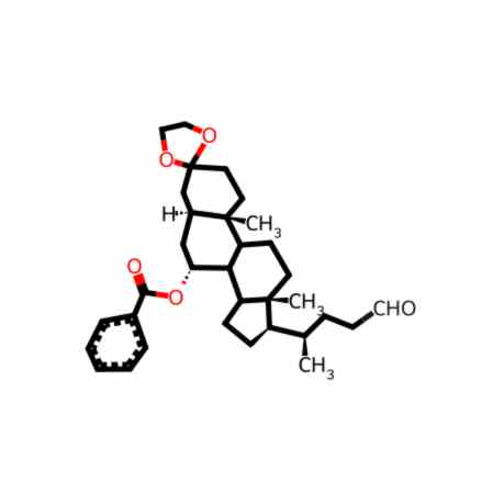 C[C@H](CCC=O)[C@H]1CCC2C3C(CC[C@@]21C)[C@@]1(C)CCC2(C[C@@H]1C[C@H]3OC(=O)c1ccccc1)OCCO2